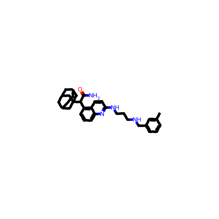 Cc1cccc(CNCCCNc2ccc3c(C(C(N)=O)C45CC6CC(CC(C6)C4)C5)cccc3n2)c1